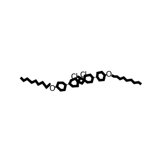 CCCCCCCCCO[C@H]1CC[C@H](C2CCC3(CC2)CC2(CCC([C@H]4CC[C@H](OCCCCCCCCC)CC4)CC2)C3(Cl)Cl)CC1